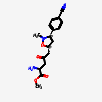 COC(=O)C(N)CC(=O)C[C@H]1C[C@@H](c2ccc(C#N)cc2)N(C)O1